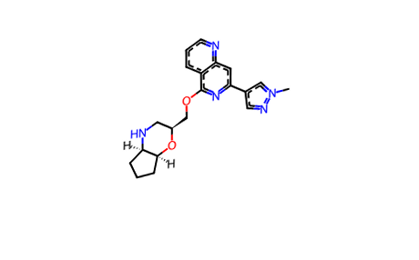 Cn1cc(-c2cc3ncccc3c(OC[C@@H]3CN[C@@H]4CCC[C@@H]4O3)n2)cn1